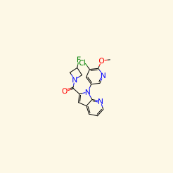 COc1ncc(-n2c(C(=O)N3CC(F)C3)cc3cccnc32)cc1Cl